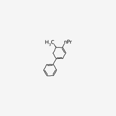 CCCC1=CC=C(c2ccccc2)C[C]1C